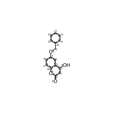 O=c1cc(O)c2cc(OCc3ccccc3)ccc2o1